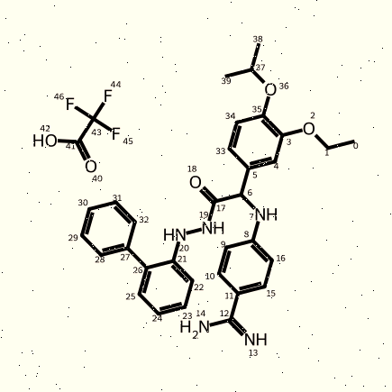 CCOc1cc(C(Nc2ccc(C(=N)N)cc2)C(=O)NNc2ccccc2-c2ccccc2)ccc1OC(C)C.O=C(O)C(F)(F)F